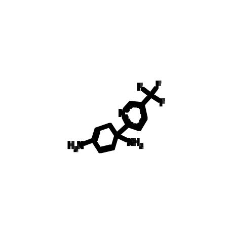 NC1=CCC(N)(c2ccc(C(F)(F)F)cn2)C=C1